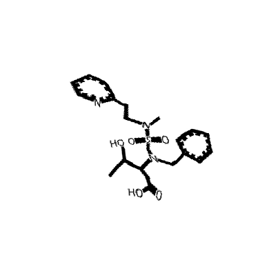 CC(O)C(C(=O)O)N(Cc1ccccc1)S(=O)(=O)N(C)CCc1ccccn1